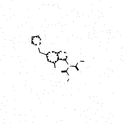 COc1cc(Cn2cccn2)nc2onc(N(C(=O)OC(C)(C)C)C(=O)OC(C)(C)C)c12